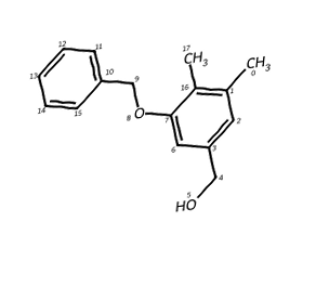 Cc1cc(CO)cc(OCc2ccccc2)c1C